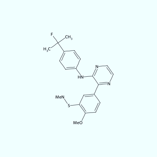 CNSc1cc(-c2nccnc2Nc2ccc(C(C)(C)F)cc2)ccc1OC